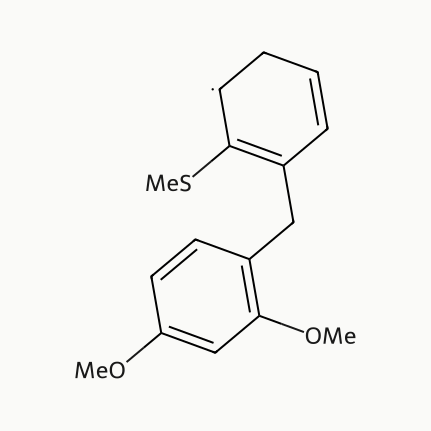 COc1ccc(CC2=C(SC)[CH]CC=C2)c(OC)c1